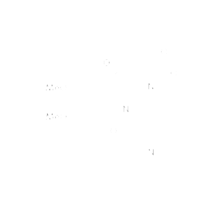 COc1cc2c3c(n(CCCN4CCCC4)c(=O)c2cc1OC)-c1nc2c(cc1C3=O)OCO2